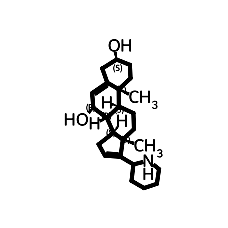 C[C@]12CC[C@H](O)CC1=C[C@H](O)[C@@H]1[C@@H]2CC[C@]2(C)C(C3CCCCN3)=CC[C@@H]12